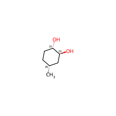 C[C@@H]1CC[C@H](O)[C@@H](O)C1